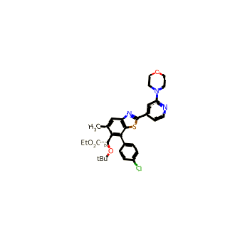 CCOC(=O)[C@@H](OC(C)(C)C)c1c(C)cc2nc(-c3ccnc(N4CCOCC4)c3)sc2c1-c1ccc(Cl)cc1